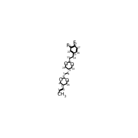 CC=C[C@H]1CO[C@H](CC[C@H]2CO[C@H](CCc3ccc(F)c(F)c3)OC2)OC1